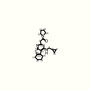 O=C(Cc1nc(NCC2CC2)c2c3c(sc2n1)CCCC3)N1CCCC1